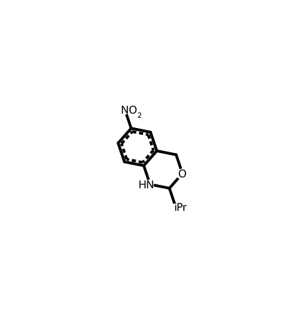 CC(C)C1Nc2ccc([N+](=O)[O-])cc2CO1